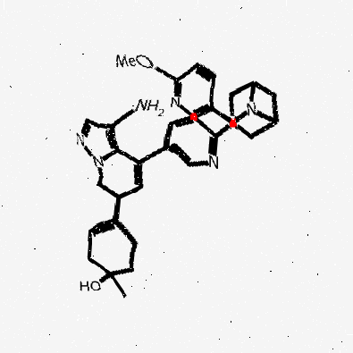 COc1ccc(CN2C3CC2CN(c2ccc(C4=CC(C5=CCC(C)(O)CC5)Cn5ncc(N)c54)cn2)C3)cn1